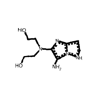 Nc1c(N(CCO)CCO)nc2cc[nH]n12